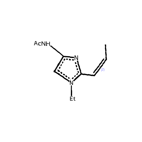 C/C=C\c1nc(NC(C)=O)cn1CC